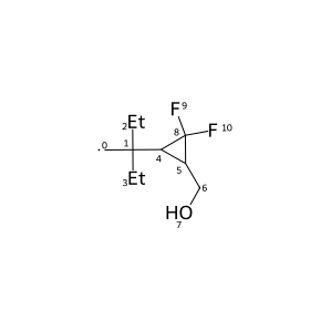 [CH2]C(CC)(CC)C1C(CO)C1(F)F